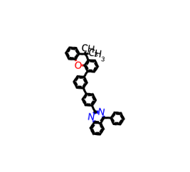 CC1(C)c2ccccc2Oc2c(-c3cccc(-c4ccc(-c5nc(-c6ccccc6)c6ccccc6n5)cc4)c3)cccc21